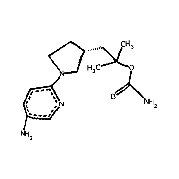 CC(C)(C[C@H]1CCN(c2ccc(N)cn2)C1)OC(N)=O